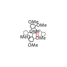 COc1cc(OC)c(C(CC2CCCC2)C(=O)C(CC2CCCC2)c2c(OC)cc(OC)cc2OC)c(OC)c1